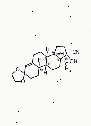 C[C@]12CC[C@H]3[C@@H](CCC4=CC5(CC[C@@H]43)OCCO5)[C@@H]1CC[C@]2(O)C#N